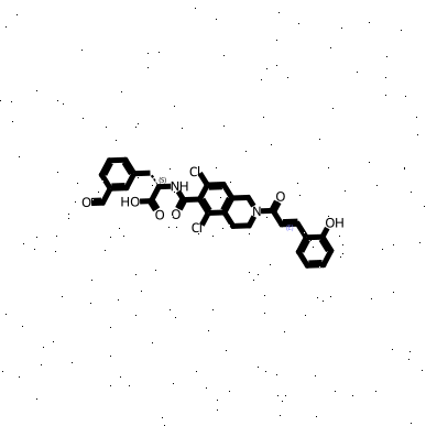 O=Cc1cccc(C[C@H](NC(=O)c2c(Cl)cc3c(c2Cl)CCN(C(=O)/C=C/c2ccccc2O)C3)C(=O)O)c1